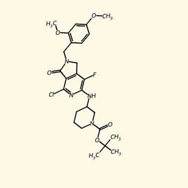 COc1ccc(CN2Cc3c(F)c(NC4CCCN(C(=O)OC(C)(C)C)C4)nc(Cl)c3C2=O)c(OC)c1